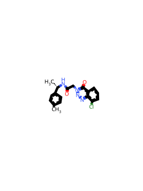 Cc1ccc([C@H](C)NC(=O)Cn2nnc3c(Cl)cccc3c2=O)cc1